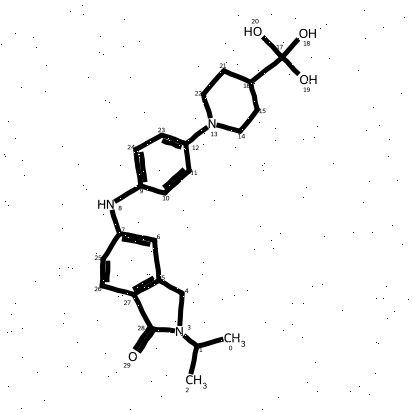 CC(C)N1Cc2cc(Nc3ccc(N4CCC(C(O)(O)O)CC4)cc3)ccc2C1=O